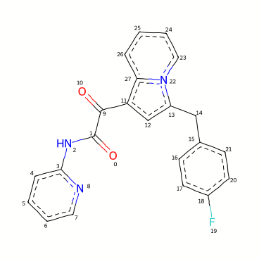 O=C(Nc1ccccn1)C(=O)c1cc(Cc2ccc(F)cc2)n2ccccc12